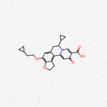 O=C(O)c1cn2c(cc1=O)-c1c(cc(OCCC3CC3)c3c1CCO3)CC2C1CC1